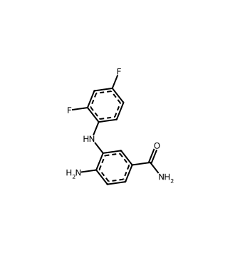 NC(=O)c1ccc(N)c(Nc2ccc(F)cc2F)c1